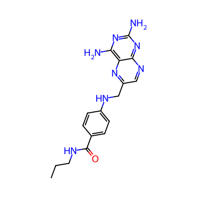 CCCNC(=O)c1ccc(NCc2cnc3nc(N)nc(N)c3n2)cc1